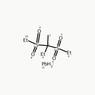 CCC(C)(S(=O)(=O)CC)S(=O)(=O)CC.[PbH2]